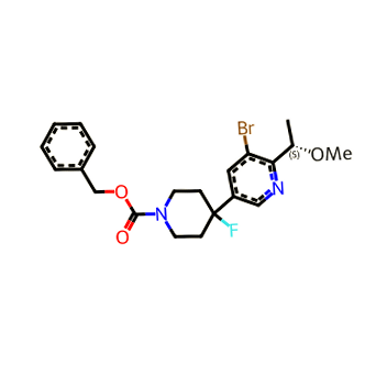 CO[C@@H](C)c1ncc(C2(F)CCN(C(=O)OCc3ccccc3)CC2)cc1Br